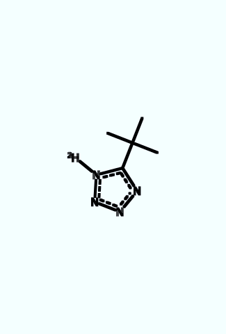 [2H]n1nnnc1C(C)(C)C